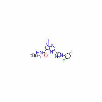 Cc1ccc(F)c(-n2cnc(-c3cnc4[nH]cc(C(=O)N[C@@H](C)C(C)(C)C)c4n3)c2)c1